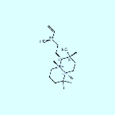 C=C[C@H](O)CC[C@@H]1[C@@]2(C)CCCC(C)(C)[C@@H]2CC[C@@]1(C)O